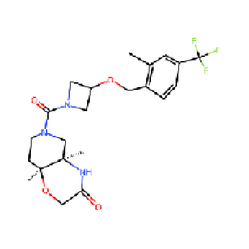 Cc1cc(C(F)(F)F)ccc1COC1CN(C(=O)N2CC[C@]3(C)OCC(=O)N[C@]3(C)C2)C1